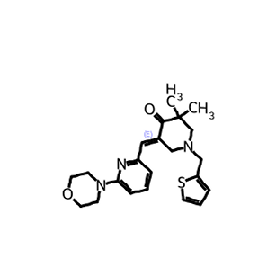 CC1(C)CN(Cc2cccs2)C/C(=C\c2cccc(N3CCOCC3)n2)C1=O